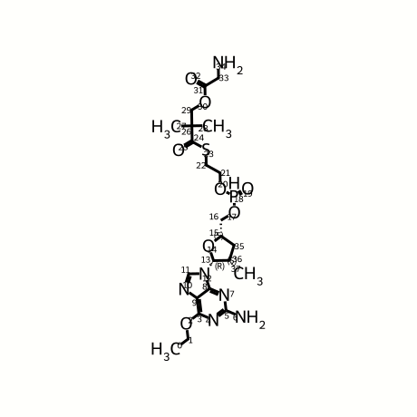 CCOc1nc(N)nc2c1ncn2[C@@H]1O[C@H](CO[PH](=O)OCCSC(=O)C(C)(C)COC(=O)CN)C[C@@H]1C